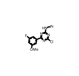 COc1cc(F)cc(-c2nc(Cl)nc(NC(C)C)n2)c1